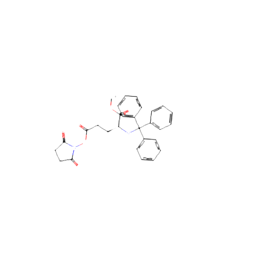 CC(C)(C)OC(=O)[C@H](CCC(=O)ON1C(=O)CCC1=O)NC(c1ccccc1)(c1ccccc1)c1ccccc1